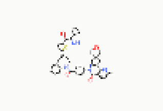 Cc1ccc(C(=O)Nc2ccc(C(=O)N3CCC(c4ccc(C(=O)C(=N)C5CCC5)s4)=Cc4ccccc43)cc2)c(C2=CCC3(CCOCC3)C2)n1